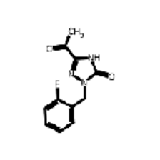 CC(=O)c1nn(Cc2ccccc2F)c(=O)[nH]1